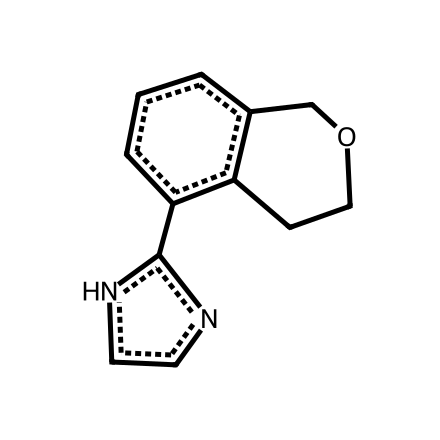 c1cc2c(c(-c3ncc[nH]3)c1)CCOC2